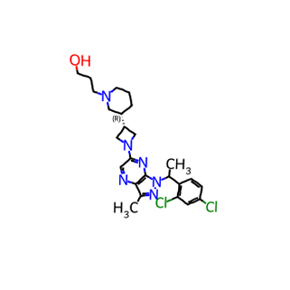 Cc1nn(C(C)c2ccc(Cl)cc2Cl)c2nc(N3CC([C@H]4CCCN(CCCO)C4)C3)cnc12